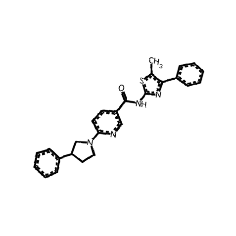 Cc1sc(NC(=O)c2ccc(N3CCC(c4ccccc4)C3)nc2)nc1-c1ccccc1